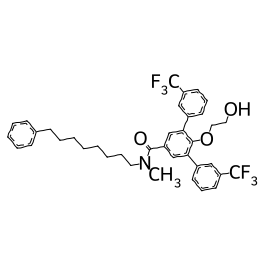 CN(CCCCCCCCc1ccccc1)C(=O)c1cc(-c2cccc(C(F)(F)F)c2)c(OCCO)c(-c2cccc(C(F)(F)F)c2)c1